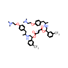 CC(Cc1ccc(OCCN(C)C)cc1)NCC(OC(=O)/C=C/C(=O)OC(CNC(C)Cc1ccc(OCCN(C)C)cc1)c1cccc(C(F)(F)F)c1)c1cccc(C(F)(F)F)c1